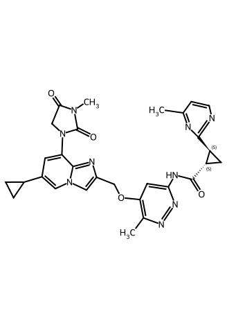 Cc1ccnc([C@H]2C[C@@H]2C(=O)Nc2cc(OCc3cn4cc(C5CC5)cc(N5CC(=O)N(C)C5=O)c4n3)c(C)nn2)n1